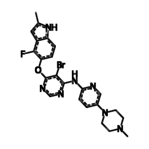 Cc1cc2c(F)c(Oc3ncnc(Nc4ccc(N5CCN(C)CC5)cn4)c3Br)ccc2[nH]1